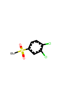 CC(C)(C)S(=O)(=O)c1ccc(Cl)c(Cl)c1